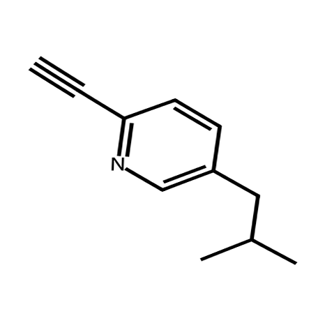 C#Cc1ccc(CC(C)C)cn1